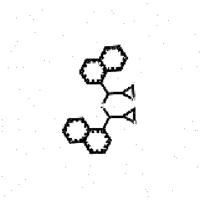 c1ccc2c(C(OC(c3cccc4ccccc34)C3CO3)C3CO3)cccc2c1